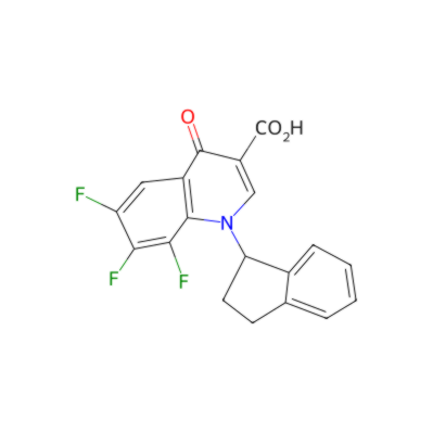 O=C(O)c1cn(C2CCc3ccccc32)c2c(F)c(F)c(F)cc2c1=O